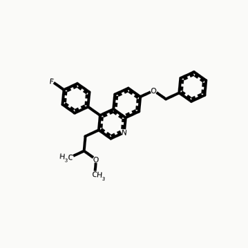 COC(C)Cc1cnc2cc(OCc3ccccc3)ccc2c1-c1ccc(F)cc1